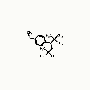 CSc1ccc(C(CC(C)(C)C)C(C)(C)C)cc1